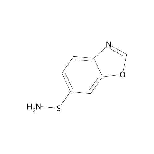 NSc1ccc2ncoc2c1